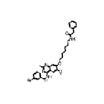 COc1cc2c(N[C@H](C)c3cccc(Br)c3)nc(C)nc2cc1OCCCCCCCNC(=O)Cc1ccccc1